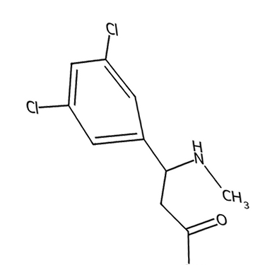 CNC(CC(=O)O)c1cc(Cl)cc(Cl)c1